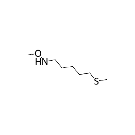 CONCCCCCSC